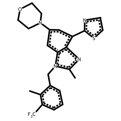 Cc1c(Cn2c(C)nc3c(-c4nccs4)cc(N4CCOCC4)cc32)cccc1C(F)(F)F